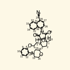 C[C@@]12CC[C@@](CCOc3ccccc3N3CCOCC3)(O1)[C@H]1C(=O)N(c3ccc(C#N)c4ccccc34)C(=O)[C@H]12